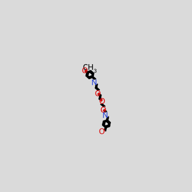 COc1ccc(C=NCCCOCCOCCOCN=Cc2ccc(C=O)cc2)cc1